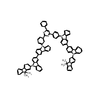 CC1(C)c2ccccc2-c2ccc(-n3c4ccccc4c4cc(-c5ccc6c(c5)c5ccccc5n6-c5ccc(-c6cc(-c7ccccc7)nc(-c7cccc(-n8c9ccccc9c9cc(-c%10ccc%11c(c%10)c%10ccccc%10n%11-c%10ccc%11c(c%10)C(C)(C)c%10ccccc%10-%11)ccc98)c7)n6)cc5)ccc43)cc21